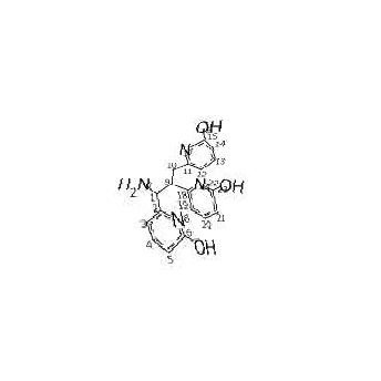 NC(c1cccc(O)n1)C(Cc1cccc(O)n1)c1cccc(O)n1